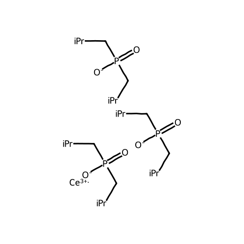 CC(C)CP(=O)([O-])CC(C)C.CC(C)CP(=O)([O-])CC(C)C.CC(C)CP(=O)([O-])CC(C)C.[Ce+3]